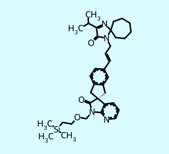 CC(C)C1=NC2(CCCCCC2)N(C/C=C/c2ccc3c(c2)C[C@@]2(C3)C(=O)N(COCC[Si](C)(C)C)c3ncccc32)C1=O